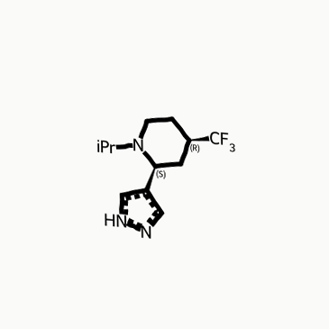 CC(C)N1CC[C@@H](C(F)(F)F)C[C@H]1c1cn[nH]c1